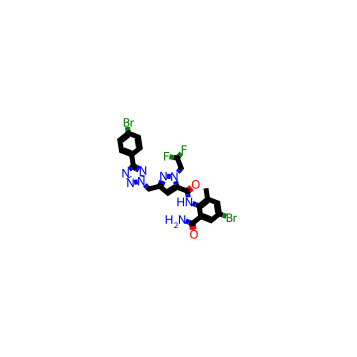 Cc1cc(Br)cc(C(N)=O)c1NC(=O)c1cc(Cn2nnc(-c3ccc(Br)cc3)n2)nn1CC(F)F